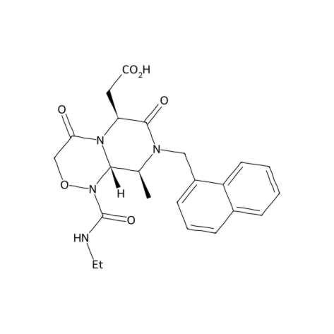 CCNC(=O)N1OCC(=O)N2[C@@H]1[C@H](C)N(Cc1cccc3ccccc13)C(=O)[C@@H]2CC(=O)O